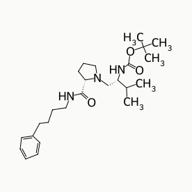 CC(C)[C@H](CN1CCC[C@H]1C(=O)NCCCCc1ccccc1)NC(=O)OC(C)(C)C